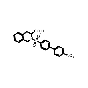 O=C(O)C1Cc2ccccc2CN1S(=O)(=O)c1ccc(-c2ccc([N+](=O)[O-])cc2)cc1